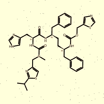 CC(C)c1nc(CN(C)C(=O)N[C@@H](Cc2c[nH]cn2)C(=O)N[C@H](CC[C@H](Cc2ccccc2)NC(=O)OCc2cncs2)Cc2ccccc2)cs1